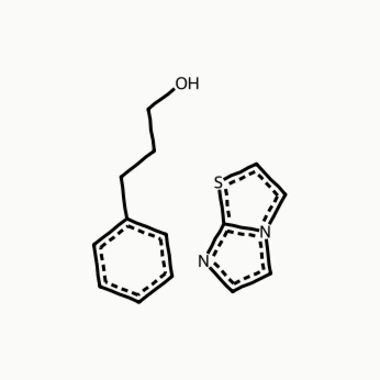 OCCCc1ccccc1.c1cn2ccsc2n1